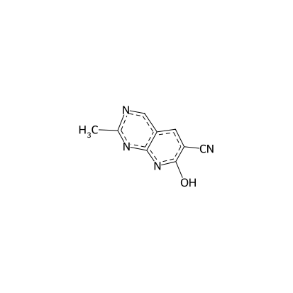 Cc1ncc2cc(C#N)c(O)nc2n1